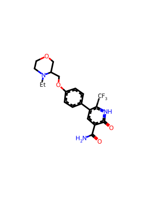 CCN1CCOCC1COc1ccc(-c2cc(C(N)=O)c(=O)[nH]c2C(F)(F)F)cc1